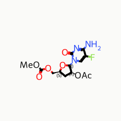 COC(=O)OC[C@@H]1C[C@@H](OC(C)=O)[C@H](n2cc(F)c(N)nc2=O)O1